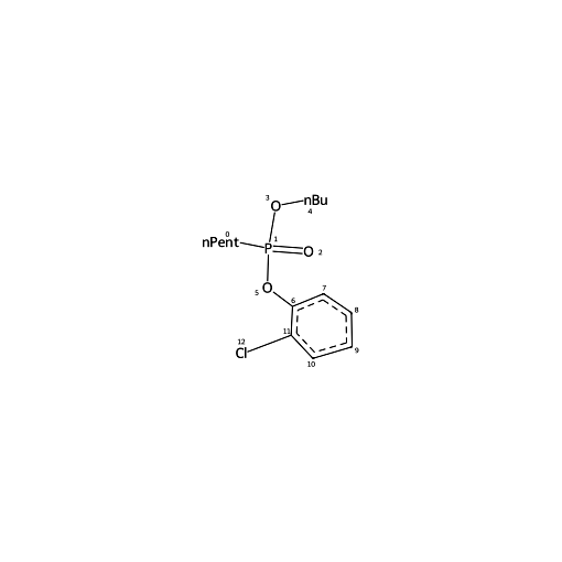 CCCCCP(=O)(OCCCC)Oc1ccccc1Cl